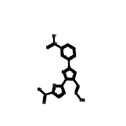 O=[N+]([O-])c1cccc(-n2cc(C=NO)c(-c3ccc([N+](=O)[O-])o3)n2)c1